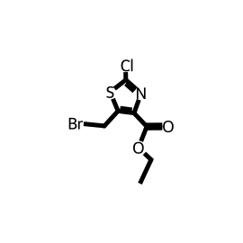 CCOC(=O)c1nc(Cl)sc1CBr